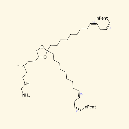 CCCCC/C=C\C/C=C\CCCCCCCCC1(CCCCCCCC/C=C\C/C=C\CCCCC)OCC(CCN(C)CCNCN)O1